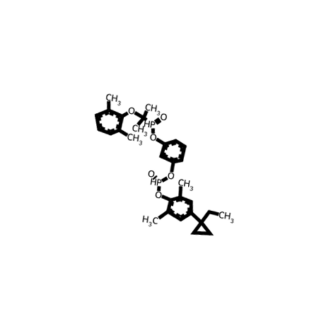 CCC1(c2cc(C)c(O[PH](=O)Oc3cccc(O[PH](=O)C(C)(C)Oc4c(C)cccc4C)c3)c(C)c2)CC1